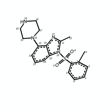 Cc1ccccc1S(=O)(=O)n1c(C)nc2c(N3CCNCC3)cccc21